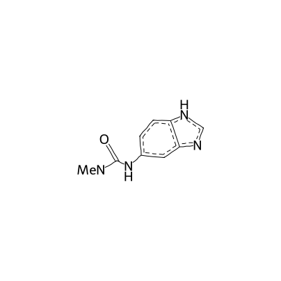 CNC(=O)Nc1ccc2[nH]cnc2c1